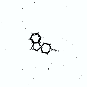 [2H]N1CCC2(CC1)COc1ccccc12